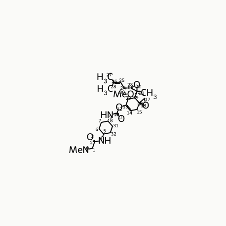 CNCC(=O)N[C@H]1CC[C@H](NC(=O)OC2=CC[C@]3(CO3)C(C3(C)O[C@@H]3CC=C(C)C)C2OC)CC1